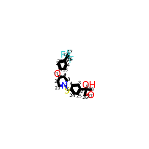 OC1(c2ccc(SN3CCC(Oc4ccc(C(F)(F)F)cc4)CC3)cc2)COC1